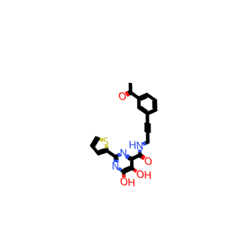 CC(=O)c1cccc(C#CCNC(=O)c2nc(-c3cccs3)nc(O)c2O)c1